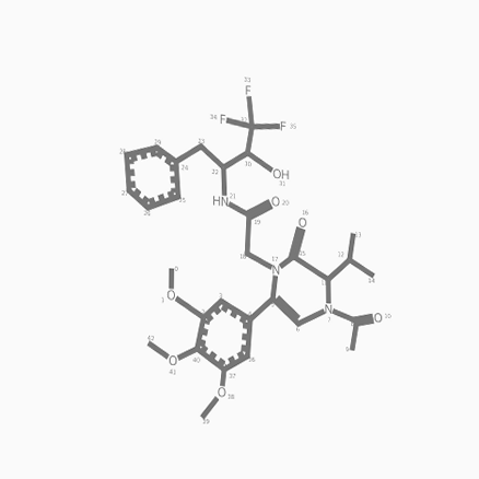 COc1cc(C2=CN(C(C)=O)C(C(C)C)C(=O)N2CC(=O)NC(Cc2ccccc2)C(O)C(F)(F)F)cc(OC)c1OC